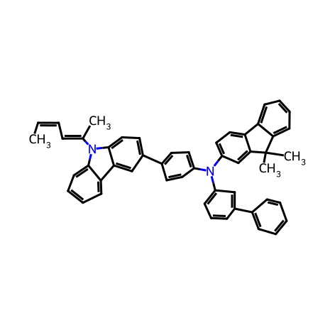 C/C=C\C=C(/C)n1c2ccccc2c2cc(-c3ccc(N(c4cccc(-c5ccccc5)c4)c4ccc5c(c4)C(C)(C)c4ccccc4-5)cc3)ccc21